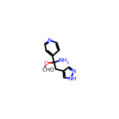 NC(Cc1cn[nH]c1)(OC=O)c1ccncc1